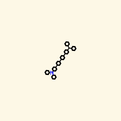 c1ccc(C(c2ccccc2)c2ccc(-c3ccc(-c4ccc(-c5ccc(N(c6ccccc6)c6ccccc6)cc5)cc4)cc3)cc2)cc1